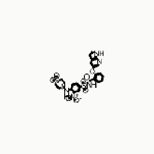 O=C(NS(=O)(=O)c1ccc(NN2CCS(=O)(=O)CC2)c([N+](=O)[O-])c1)c1ccccc1Oc1cnc2[nH]ccc2c1